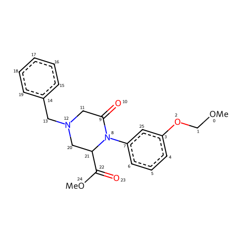 COCOc1cccc(N2C(=O)CN(Cc3ccccc3)CC2C(=O)OC)c1